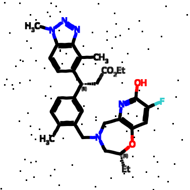 CCOC(=O)C[C@H](c1ccc(C)c(CN2Cc3nc(O)c(F)cc3O[C@H](CC)C2)c1)c1ccc2c(nnn2C)c1C